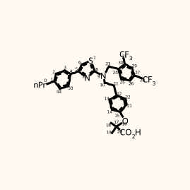 CCCc1ccc(-c2csc(N(CCc3ccc(OC(C)(C)C(=O)O)cc3)Cc3ccc(C(F)(F)F)cc3C(F)(F)F)n2)cc1